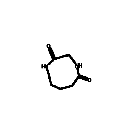 O=C1CCCNC(=O)CN1